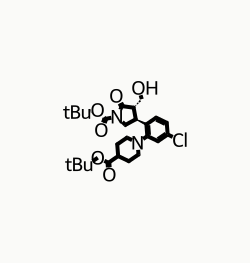 CC(C)(C)OC(=O)C1CCN(c2cc(Cl)ccc2[C@H]2CN(C(=O)OC(C)(C)C)C(=O)[C@@H]2CO)CC1